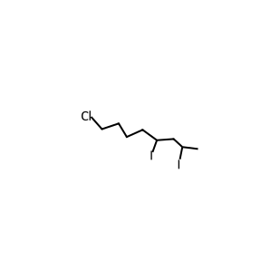 CC(I)CC(I)CCCCCl